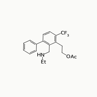 CCNCc1c(-c2ccccc2)ccc(C(F)(F)F)c1CCOC(C)=O